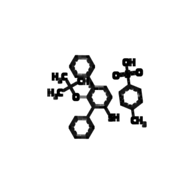 CC(C)(C)Oc1c(-c2ccccc2)ccc(S)c1-c1ccccc1.Cc1ccc(S(=O)(=O)O)cc1